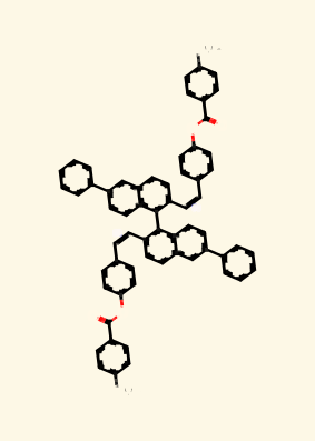 COc1ccc(C(=O)Oc2ccc(/C=C\c3ccc4cc(-c5ccccc5)ccc4c3-c3c(/C=C\c4ccc(OC(=O)c5ccc(OC)cc5)cc4)ccc4cc(-c5ccccc5)ccc34)cc2)cc1